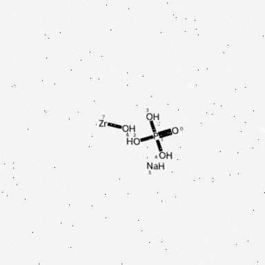 O=P(O)(O)O.[NaH].[OH][Zr]